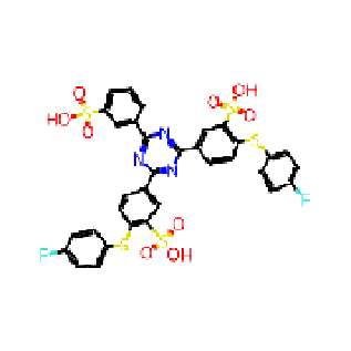 O=S(=O)(O)c1cccc(-c2nc(-c3ccc(Sc4ccc(F)cc4)c(S(=O)(=O)O)c3)nc(-c3ccc(Sc4ccc(F)cc4)c(S(=O)(=O)O)c3)n2)c1